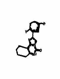 O=c1[nH]c2c(c3nc(-c4cc(F)ccc4F)cn13)CCCC2